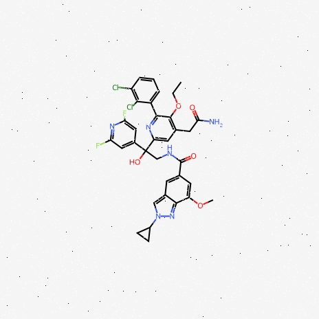 CCOc1c(CC(N)=O)cc(C(O)(CNC(=O)c2cc(OC)c3nn(C4CC4)cc3c2)c2cc(F)nc(F)c2)nc1-c1cccc(Cl)c1Cl